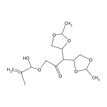 C=C(I)C(O)OCC(=O)C(C1COC(C)O1)C1COC(C)O1